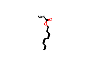 C=C/C=C\C=C/CCOC(=O)NC